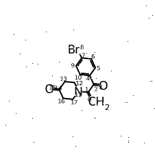 C=C(C(=O)c1ccc(Br)cc1)N1CCC(=O)CC1